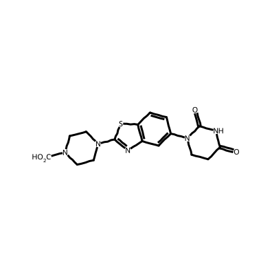 O=C1CCN(c2ccc3sc(N4CCN(C(=O)O)CC4)nc3c2)C(=O)N1